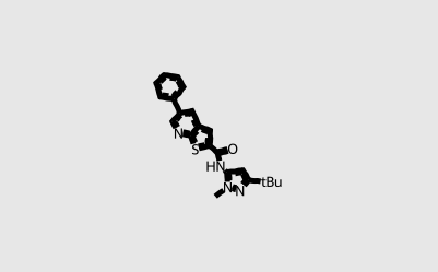 Cn1nc(C(C)(C)C)cc1NC(=O)c1cc2cc(-c3ccccc3)cnc2s1